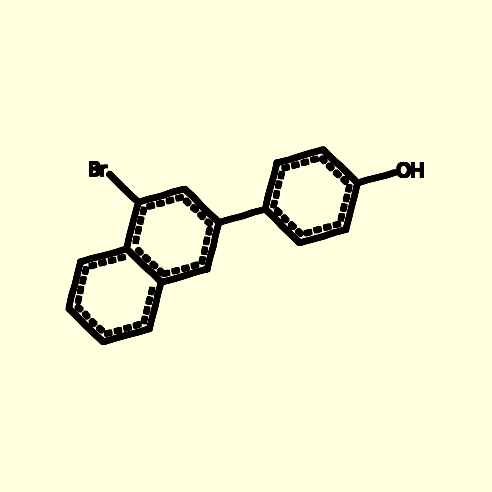 Oc1ccc(-c2cc(Br)c3ccccc3c2)cc1